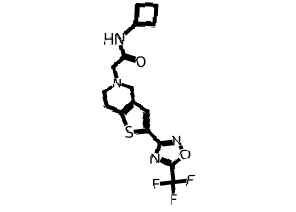 O=C(CN1CCc2sc(-c3noc(C(F)(F)F)n3)cc2C1)NC1CCC1